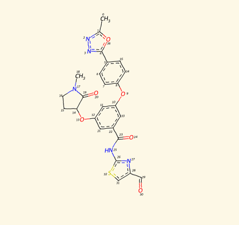 Cc1nnc(-c2ccc(Oc3cc(OC4CCN(C)C4=O)cc(C(=O)Nc4nc(C=O)cs4)c3)cc2)o1